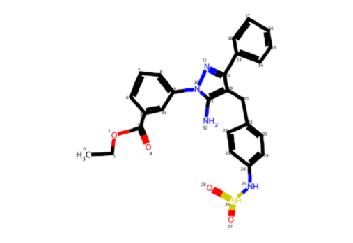 CCOC(=O)c1cccc(-n2nc(-c3ccccc3)c(Cc3ccc(N[SH](=O)=O)cc3)c2N)c1